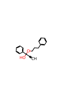 C#CC(O)(OCCCc1ccccc1)c1ccccc1